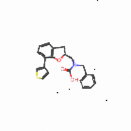 O=C(O)N(Cc1ccccc1)CC1Cc2cccc(-c3ccsc3)c2O1